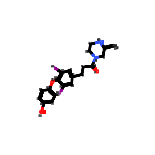 C=C1CN(C(=O)CCc2cc(I)c(Oc3ccc(O)cc3)c(I)c2)CCN1